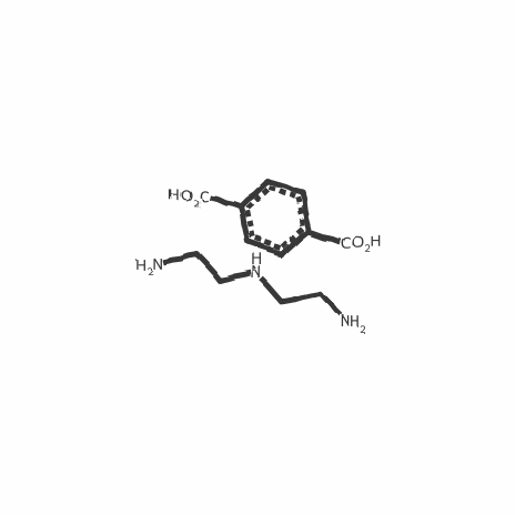 NCCNCCN.O=C(O)c1ccc(C(=O)O)cc1